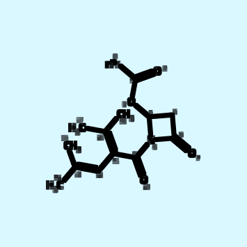 CCCC(=O)OC1CC(=O)N1C(=O)C(C=C(C)C)=C(C)C